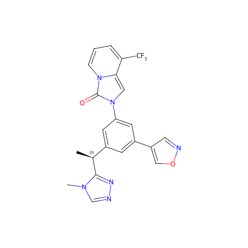 C[C@@H](c1cc(-c2cnoc2)cc(-n2cc3c(C(F)(F)F)cccn3c2=O)c1)c1nncn1C